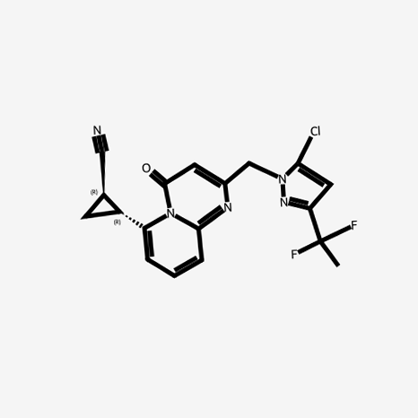 CC(F)(F)c1cc(Cl)n(Cc2cc(=O)n3c([C@@H]4C[C@H]4C#N)cccc3n2)n1